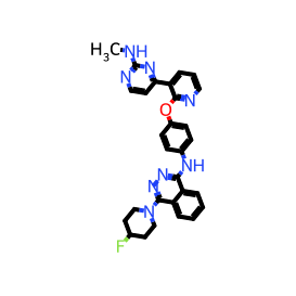 CNc1nccc(-c2cccnc2Oc2ccc(Nc3nnc(N4CCC(F)CC4)c4ccccc34)cc2)n1